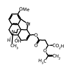 C=C(C)O[C@@H](CC(=O)OC1=CC[C@@]2(O)[C@H]3Cc4ccc(OC)c5c4[C@@]2(CCN3C)[C@H]1O5)C(=O)O